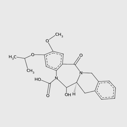 COc1cc2c(cc1OC(C)C)N(C(=O)O)C(O)[C@@H]1Cc3ccccc3CN1C2=O